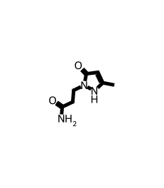 Cc1cc(=O)n(CCC(N)=O)[nH]1